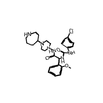 COc1ccccc1C(NC(=O)Nc1ccc(Cl)cc1)C(=O)NN1CCN(C2CCCNCC2)CC1